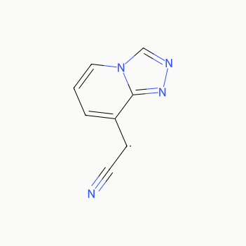 N#C[CH]c1cccn2cnnc12